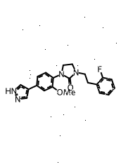 COc1cc(-c2cn[nH]c2)ccc1N1CCN(CCc2ccccc2F)C1=O